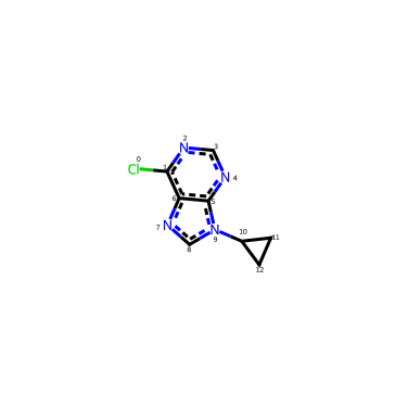 Clc1ncnc2c1ncn2C1CC1